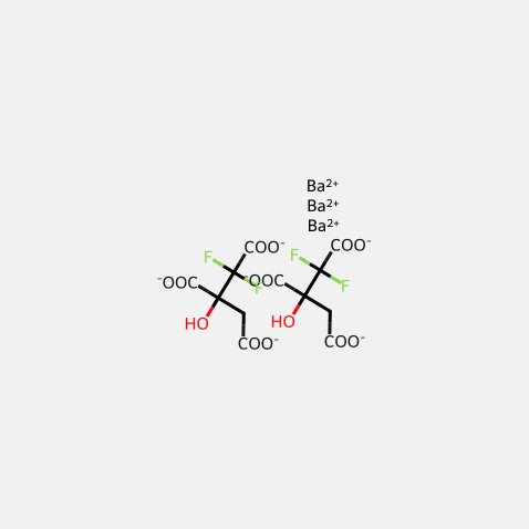 O=C([O-])CC(O)(C(=O)[O-])C(F)(F)C(=O)[O-].O=C([O-])CC(O)(C(=O)[O-])C(F)(F)C(=O)[O-].[Ba+2].[Ba+2].[Ba+2]